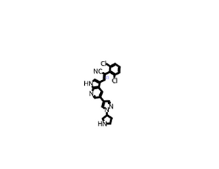 N#C/C(=C\c1c[nH]c2ncc(-c3cnn(C4CCNC4)c3)cc12)c1c(Cl)cccc1Cl